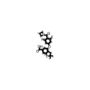 CC1(C)Cc2c(Oc3cc(F)c(C(=O)N4CCC4)c(F)c3)cc(C(=O)O)cc2O1